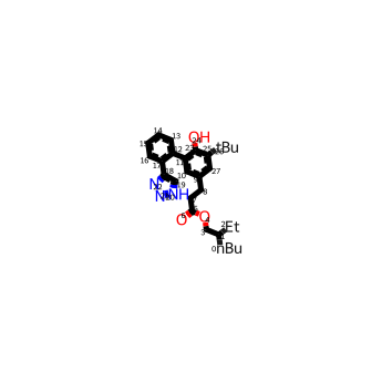 CCCCC(CC)COC(=O)CCc1cc(-c2ccccc2-c2c[nH]nn2)c(O)c(C(C)(C)C)c1